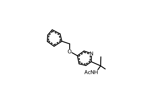 CC(=O)NC(C)(C)c1ccc(OCc2ccccc2)cn1